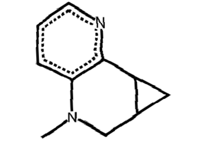 CN1CC2CC2c2ncccc21